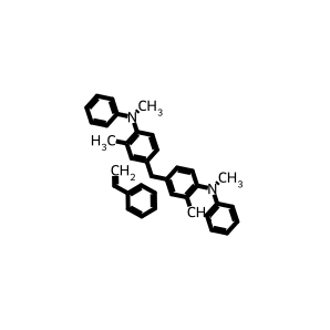 C=Cc1ccccc1.Cc1cc(Cc2ccc(N(C)c3ccccc3)c(C)c2)ccc1N(C)c1ccccc1